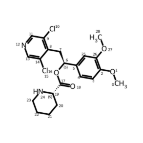 COc1ccc([C@H](Cc2c(Cl)cncc2Cl)OC(=O)[C@@H]2CCCCN2)cc1OC